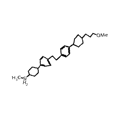 COCCCC1CCC(c2ccc(CCc3ccc(C4CCC([SiH2]C)CC4)cc3)cc2)CC1